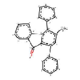 CC(=O)Oc1cc(-c2ccccc2)c2c(c1-c1ccccc1)-c1ccccc1C2=O